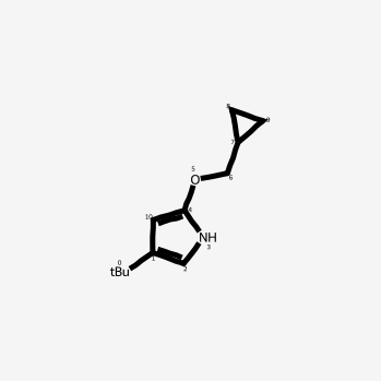 CC(C)(C)c1c[nH]c(OCC2CC2)c1